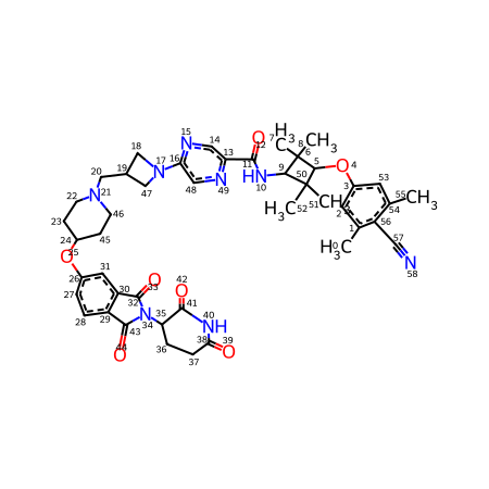 Cc1cc(OC2C(C)(C)C(NC(=O)c3cnc(N4CC(CN5CCC(Oc6ccc7c(c6)C(=O)N(C6CCC(=O)NC6=O)C7=O)CC5)C4)cn3)C2(C)C)cc(C)c1C#N